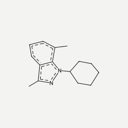 Cc1nn(C2CCCCC2)c2c(C)cccc12